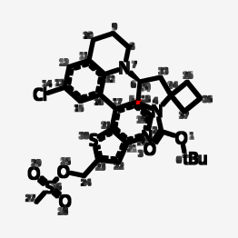 CC(C)(C)OC(=O)N1C[C@@H](N2CCCc3cc(Cl)cc(-c4ccnc5cc(COS(C)(=O)=O)sc45)c32)CC12CCC2